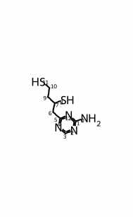 Nc1ncnc(CC(S)CCS)n1